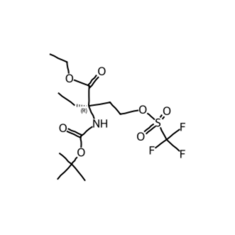 CCOC(=O)[C@@](CC)(CCOS(=O)(=O)C(F)(F)F)NC(=O)OC(C)(C)C